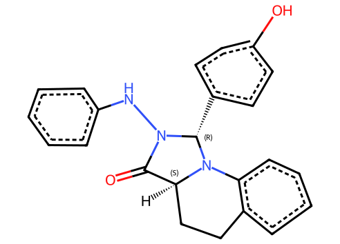 O=C1[C@@H]2CCc3ccccc3N2[C@@H](c2ccc(O)cc2)N1Nc1ccccc1